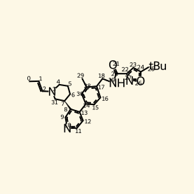 CC=CN1CCC[C@@H](c2cnccc2-c2ccc(CNC(=O)c3cc(C(C)(C)C)on3)c(C)c2)C1